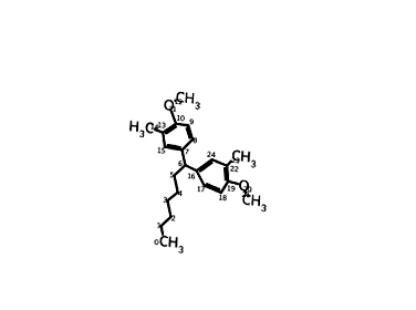 CCCCCCC(c1ccc(OC)c(C)c1)c1ccc(OC)c(C)c1